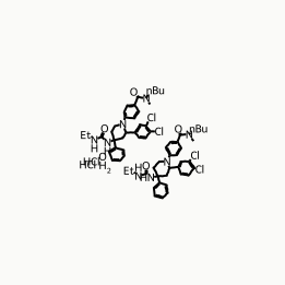 CCCCN(C)C(=O)c1ccc(N2CCC(NC(=O)NCC)(c3ccccc3)CC2c2ccc(Cl)c(Cl)c2)cc1.CCCCN(C)C(=O)c1ccc(N2CCC(NC(=O)NCC)(c3ccccc3)CC2c2ccc(Cl)c(Cl)c2)cc1.Cl.Cl.O